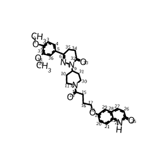 COc1ccc(C2=NN(C3CCN(C(=O)CCCOc4ccc5[nH]c(=O)ccc5c4)CC3)C(=O)CC2)cc1OC